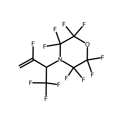 C=C(F)C(N1C(F)(F)C(F)(F)OC(F)(F)C1(F)F)C(F)(F)F